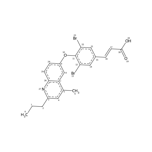 CCCc1cc(C)c2cc(Oc3c(Br)cc(/C=C/C(=O)O)cc3Br)ccc2n1